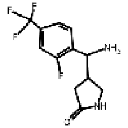 NC(c1ccc(C(F)(F)F)cc1F)C1CNC(=O)C1